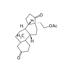 CC(=O)OCC[C@]12CC[C@H]3[C@@H](CCC4CC(=O)CC[C@@]43C)[C@@H]1CCC2=O